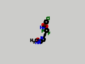 CON1NCc2ccc(C#Cc3c(F)ccc(NS(=O)(=O)c4ccc(Cl)cc4)c3F)nc21